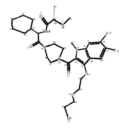 CN[C@@H](C)C(=O)NC(C(=O)N1CCN(C(=O)c2c(OCCOCCO)c3cc(F)c(F)cc3n2C)CC1)C1CCCCC1